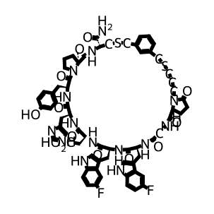 C[C@@]12CCCN1C(=O)[C@H](Cc1ccc(O)cc1)NC(=O)[C@H](Cc1c[nH]cn1)NC(=O)[C@H](CC(=O)O)NC(=O)[C@H](Cc1c[nH]c3ccc(F)cc13)NC(=O)[C@H](Cc1c[nH]c3ccc(F)cc13)NC(=O)CNC(=O)[C@@H]1CCC(=O)N1CCCSCc1cccc(c1)CSC[C@@H](C(N)=O)NC2=O